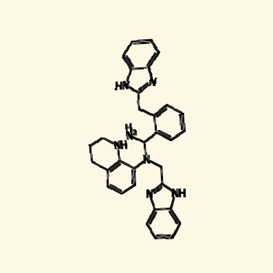 NC(c1ccccc1Cc1nc2ccccc2[nH]1)N(Cc1nc2ccccc2[nH]1)c1cccc2c1NCCC2